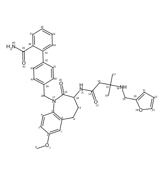 COc1ccc2c(c1)CCC(NC(=O)CC(C)(C)NCc1ccco1)C(=O)N2Cc1ccc(-c2ccccc2C(N)=O)cc1